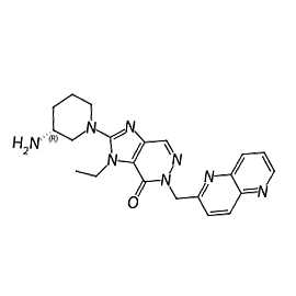 CCn1c(N2CCC[C@@H](N)C2)nc2cnn(Cc3ccc4ncccc4n3)c(=O)c21